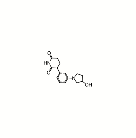 O=C1CCC(c2cccc(N3CCC(O)C3)c2)C(=O)N1